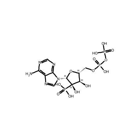 Nc1ncnc2c1ncn2[C@@H]1O[C@H](COP(=O)(O)OP(=O)(O)O)[C@@H](O)[C@]1(O)P(=O)(O)O